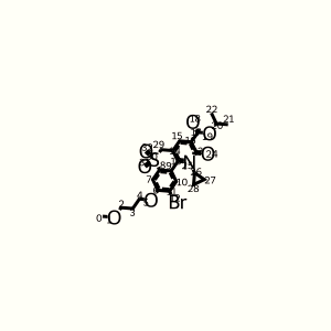 COCCCOc1cc2c(cc1Br)-c1c(cc(C(=O)OC(C)C)c(=O)n1C1CC1)CS2(=O)=O